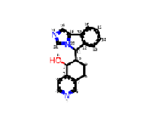 O[C@@H]1c2ccncc2CC[C@@H]1C1c2ccccc2-c2cncn21